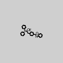 O=C(Cc1ccc(-c2nc3ccccc3o2)cc1F)N(c1ccccc1)c1ccccc1